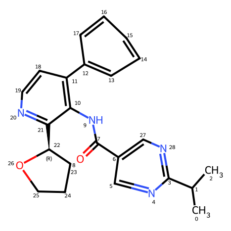 CC(C)c1ncc(C(=O)Nc2c(-c3ccccc3)ccnc2[C@H]2CCCO2)cn1